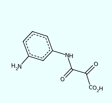 Nc1cccc(NC(=O)C(=O)C(=O)O)c1